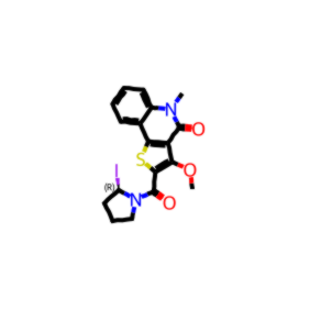 COc1c(C(=O)N2CCC[C@H]2I)sc2c1c(=O)n(C)c1ccccc21